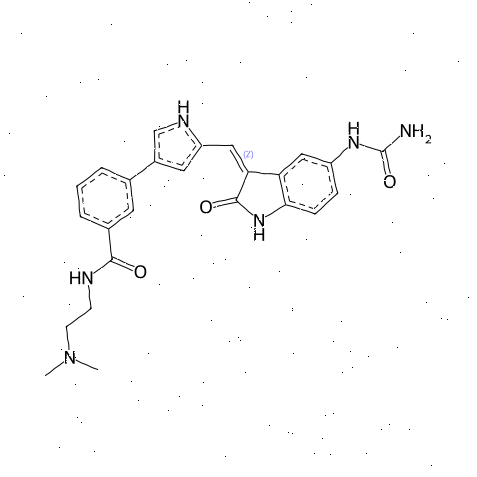 CN(C)CCNC(=O)c1cccc(-c2c[nH]c(/C=C3\C(=O)Nc4ccc(NC(N)=O)cc43)c2)c1